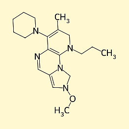 CCCN1CC(C)=C(N2CCCCC2)C2=C1N1CN(OC)C=C1C=N2